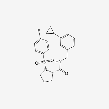 O=C(NCc1cccc(C2CC2)c1)[C@@H]1CCCN1S(=O)(=O)c1ccc(F)cc1